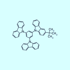 CC(C)(C)c1ccc2c(c1)c1ccccc1n2-c1cc(-n2c3ccccc3c3ccccc32)cc(-n2c3ccccc3c3ccccc32)c1